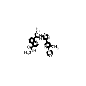 CCC(CNc1cc(-c2cnc(N3CCOCC3)c(C)c2)ncn1)c1cccc2c(C(=O)NC)ccnc12